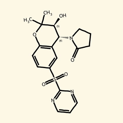 CC1(C)Oc2ccc(S(=O)(=O)c3ncccn3)cc2[C@@H](N2CCCC2=O)[C@@H]1O